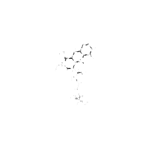 CCn1cc(C(=O)NCCOS(C)(=O)=O)c2nc3c(C)cccc3cc2c1=O